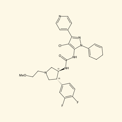 COCCN1C[C@@H](NC(=O)Nc2c(Cl)c(-c3ccncc3)nn2C2=CCCC=C2)[C@H](c2ccc(F)c(F)c2)C1